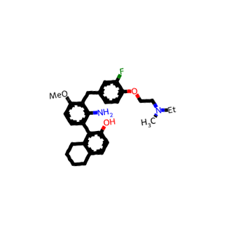 CCN(C)CCOc1ccc(Cc2c(OC)ccc(-c3c(O)ccc4c3CCCC4)c2N)cc1F